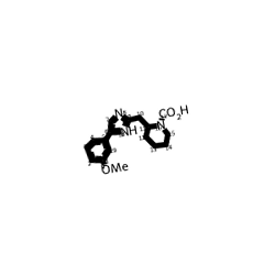 COc1cccc(-c2cnc(CC3CCCCN3C(=O)O)[nH]2)c1